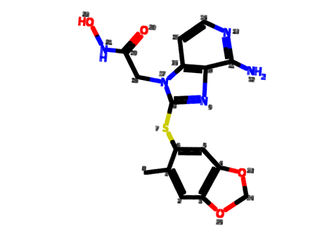 Cc1cc2c(cc1Sc1nc3c(N)nccc3n1CC(=O)NO)OCO2